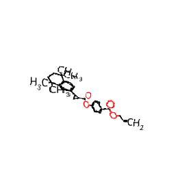 C=CCOC(=O)c1ccc(OC(=O)C2CC2c2ccc3c(c2)C(C)(C)CCC3(C)C)cc1